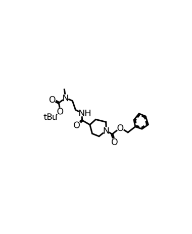 CN(CCNC(=O)C1CCN(C(=O)OCc2ccccc2)CC1)C(=O)OC(C)(C)C